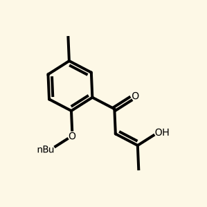 CCCCOc1ccc(C)cc1C(=O)/C=C(/C)O